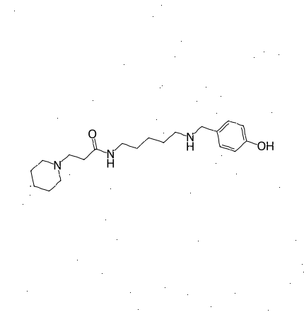 O=C(CCN1CC[CH]CC1)NCCCCCNCc1ccc(O)cc1